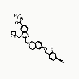 COC(=O)c1ccc2nc(CN3CCc4cc(OCc5ccc(C#N)cc5F)ccc4C3)n(C[C@@H]3CCO3)c2c1